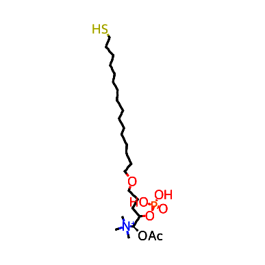 CC(=O)O[C@H](C(CCCOCCCCCCCCCCCCCCCCS)OP(=O)(O)O)[N+](C)(C)C